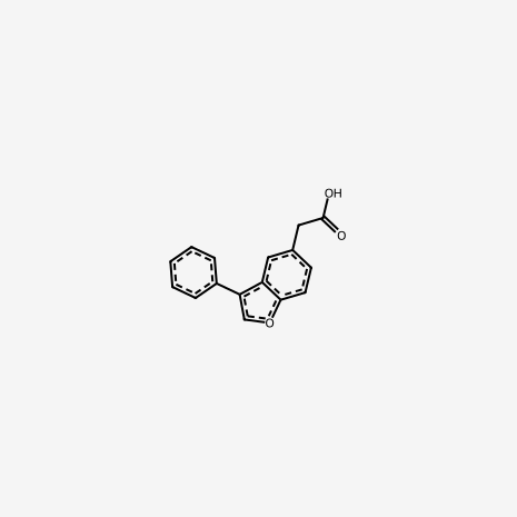 O=C(O)Cc1ccc2occ(-c3ccccc3)c2c1